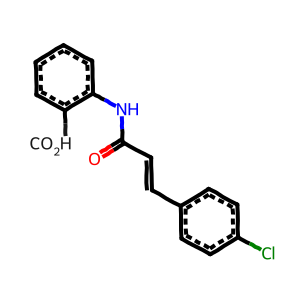 O=C(C=Cc1ccc(Cl)cc1)Nc1ccccc1C(=O)O